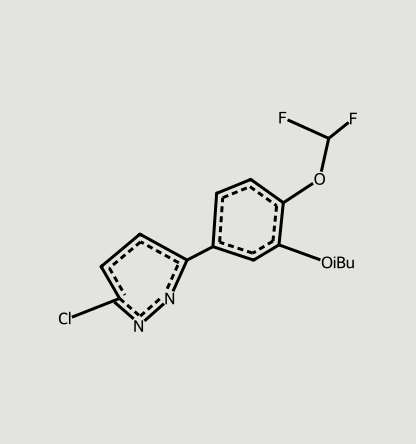 CC(C)COc1cc(-c2ccc(Cl)nn2)ccc1OC(F)F